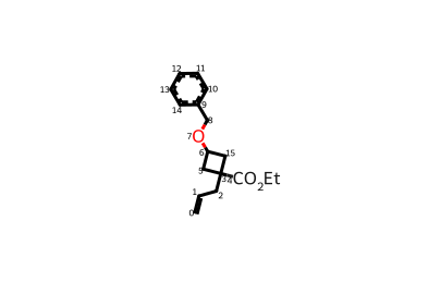 C=CCC1(C(=O)OCC)CC(OCc2ccccc2)C1